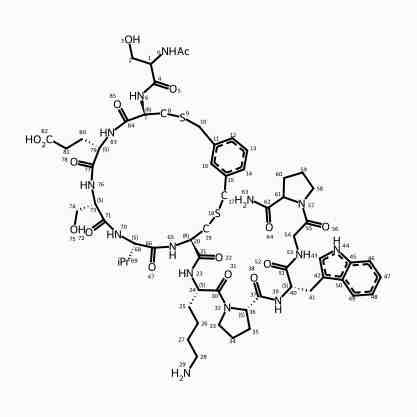 CC(=O)NC(CO)C(=O)N[C@H]1CSCc2cccc(c2)CSC[C@@H](C(=O)N[C@@H](CCCCN)C(=O)N2CCC[C@H]2C(=O)N[C@@H](Cc2c[nH]c3ccccc23)C(=O)NCC(=O)N2CCCC2C(N)=O)NC(=O)[C@H](C(C)C)NC(=O)[C@H](CO)NC(=O)[C@H](CCC(=O)O)NC1=O